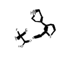 N#Cc1sccc1C1=CCNCC1.O=C(O)C(F)(F)F